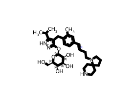 Cc1cc(/C=C/CCN2CCCC23CCNCC3)ccc1Cc1c(O[C@@H]2O[C@H](CO)[C@@H](O)[C@H](O)[C@H]2O)n[nH]c1C(C)C